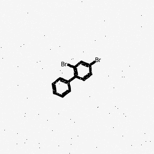 Brc1ccc(-c2ccccc2)c(Br)c1